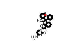 COc1ccccc1C(c1ccccc1)(c1ccccc1)C(O)[C@@H]1CC(F)[C@H](n2ccc(N)nc2=O)O1